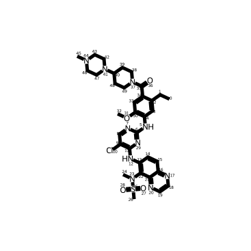 CCc1cc(Nc2ncc(Cl)c(Nc3ccc4nccnc4c3N(C)S(C)(=O)=O)n2)c(OC)cc1C(=O)N1CCC(N2CCN(C)CC2)CC1